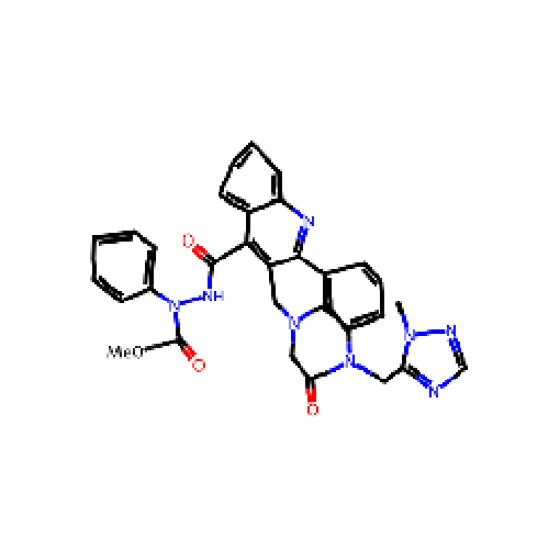 COC(=O)N(NC(=O)c1c(CN2CCN(Cc3ncnn3C)C(=O)C2)c(-c2ccccc2)nc2ccccc12)c1ccccc1